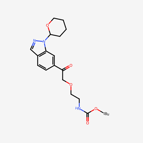 CC(C)(C)OC(=O)NCCOCC(=O)c1ccc2cnn(C3CCCCO3)c2c1